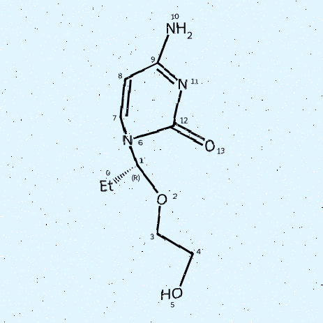 CC[C@@H](OCCO)n1ccc(N)nc1=O